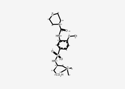 CCOc1ccc(S(=O)(=O)N[C@H](CC(=O)O)C[N+](C)(C)C)cc1NC(=O)N1CCOCC1